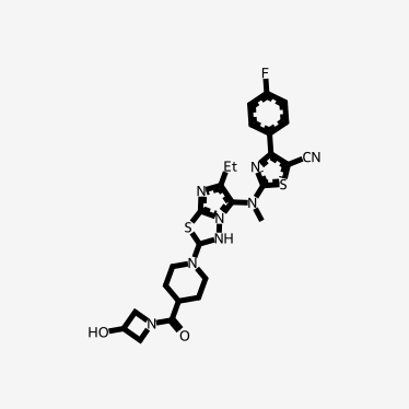 CCc1nc2n(c1N(C)c1nc(-c3ccc(F)cc3)c(C#N)s1)NC(N1CCC(C(=O)N3CC(O)C3)CC1)S2